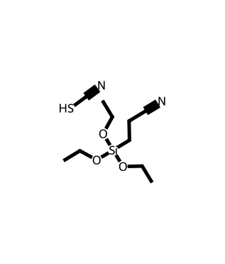 CCO[Si](CCC#N)(OCC)OCC.N#CS